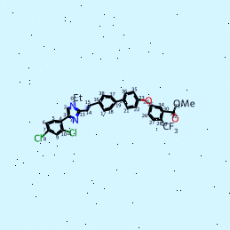 CCn1cc(-c2ccc(Cl)cc2Cl)nc1/C=C/c1ccc(-c2ccc(Oc3ccc(C(F)(F)F)c(C(=O)OC)c3)cc2)cc1